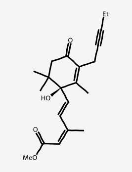 CCC#CCC1=C(C)[C@](O)(/C=C/C(C)=C\C(=O)OC)C(C)(C)CC1=O